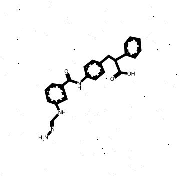 NN=CNc1cccc(C(=O)Nc2ccc(CC(C(=O)O)c3ccccc3)cc2)c1